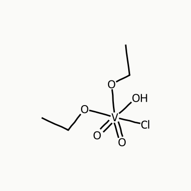 CC[O][V](=[O])(=[O])([OH])([Cl])[O]CC